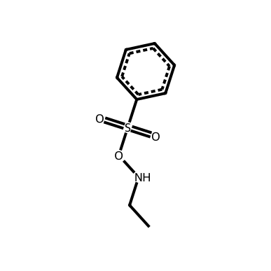 CCNOS(=O)(=O)c1ccccc1